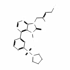 Cn1c(=O)n(C/C(F)=C/CN)c2ncnc(-c3cccc(S(=O)(=O)N4CCCC4)c3)c21